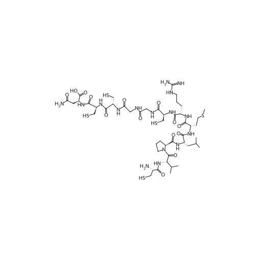 CSCC[C@H](NC(=O)[C@H](CC(C)C)NC(=O)[C@@H]1CCCN1C(=O)[C@@H](NC(=O)[C@@H](N)CS)C(C)C)C(=O)N[C@@H](CCCNC(=N)N)C(=O)N[C@@H](CS)C(=O)NCC(=O)NCC(=O)N[C@@H](CS)C(=O)N[C@@H](CS)C(=O)N[C@@H](CC(N)=O)C(=O)O